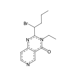 CCCC(Br)c1nc2ccncc2c(=O)n1CC